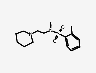 Cc1ccccc1S(=O)(=O)N(C)CCN1CCCCC1